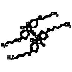 CCCCCOC1CCC2(CC1)C(=O)[C@]1(CC[C@H](OCCCCC)CC1)C2(Cl)Cl.CCCCOC1CC[C@]2(CC1)C(=O)[C@@]1(CCC(OCCCC)CC1)C2(Cl)Cl